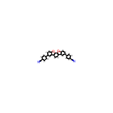 N#Cc1ccc(-c2ccc3oc4c(ccc5c6cc(-c7ccc(C#N)cc7)ccc6oc54)c3c2)cc1